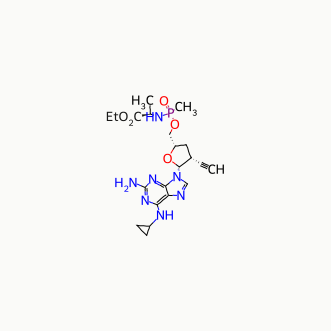 C#C[C@H]1C[C@@H](COP(C)(=O)N[C@H](C)C(=O)OCC)O[C@H]1n1cnc2c(NC3CC3)nc(N)nc21